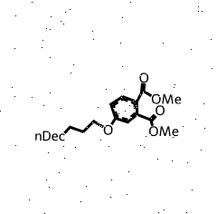 CCCCCCCCCCCCCOc1ccc(C(=O)OC)c(C(=O)OC)c1